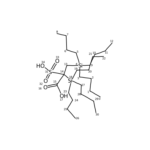 CCCC[Si](CCCC)(CCCC)CC(C(=O)O)([Si](CCCC)(CCCC)CCCC)S(=O)(=O)O